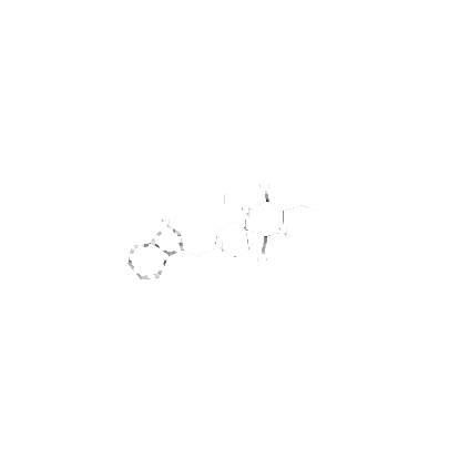 CCN1C(=O)C(CC(C)C)NC(=O)C12CCN(Cc1cn(C)c3ccccc13)CC2